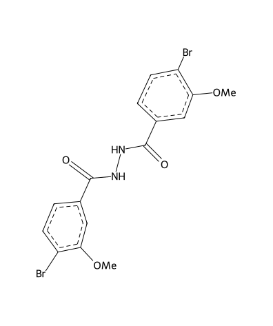 COc1cc(C(=O)NNC(=O)c2ccc(Br)c(OC)c2)ccc1Br